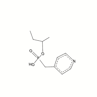 CCC(C)OP(=O)(O)Cc1ccncc1